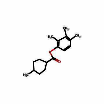 Cc1ccc(OC(=O)C2CCC(C)CC2)c(C)c1C